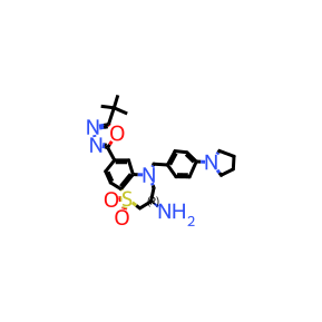 CC(C)(C)c1nnc(-c2ccc3c(c2)N(Cc2ccc(N4CCCC4)cc2)C[C@@H](N)CS3(=O)=O)o1